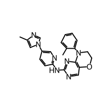 Cc1cn(-c2ccc(Nc3ncc4c(n3)N(c3ccccc3C)CCO4)nc2)cn1